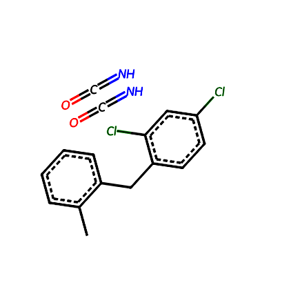 Cc1ccccc1Cc1ccc(Cl)cc1Cl.N=C=O.N=C=O